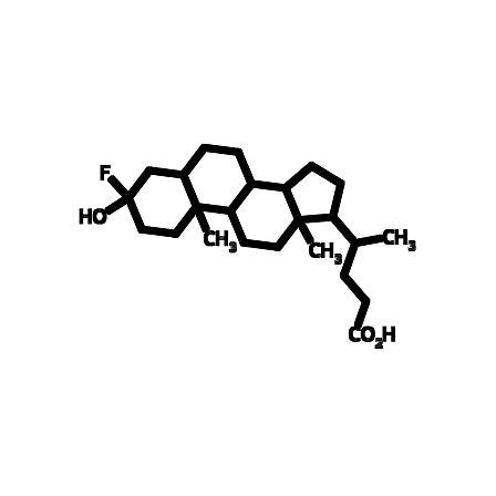 CC(CCC(=O)O)C1CCC2C3CCC4CC(O)(F)CCC4(C)C3CCC12C